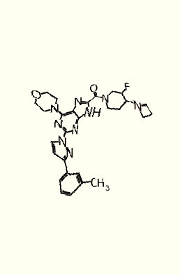 Cc1cccc(-c2ccn(-c3nc(N4CCOCC4)c4nc(C(=O)N5CCC(N6CCC6)C(F)C5)[nH]c4n3)n2)c1